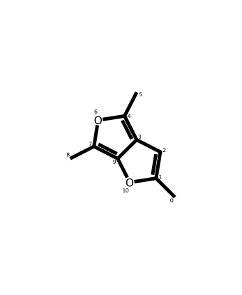 Cc1cc2c(C)oc(C)c2o1